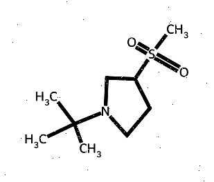 CC(C)(C)N1CCC(S(C)(=O)=O)C1